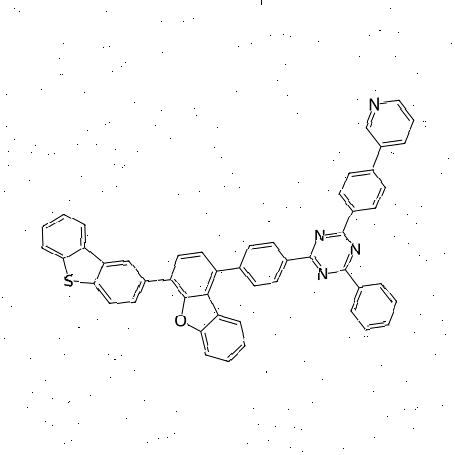 c1ccc(-c2nc(-c3ccc(-c4cccnc4)cc3)nc(-c3ccc(-c4ccc(-c5ccc6sc7ccccc7c6c5)c5oc6ccccc6c45)cc3)n2)cc1